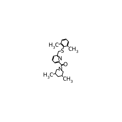 Cc1cccc(C)c1SCc1cccc(C(=O)N2CC(C)CC(C)C2)n1